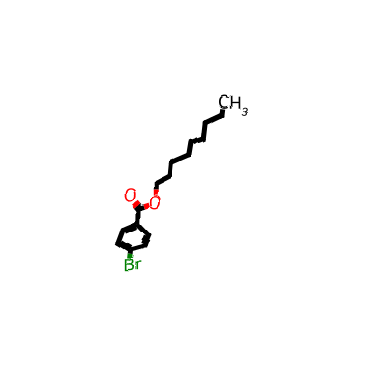 CCCCCCCCCOC(=O)c1ccc(Br)cc1